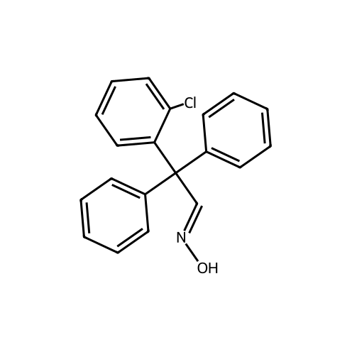 O/N=C/C(c1ccccc1)(c1ccccc1)c1ccccc1Cl